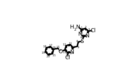 Nc1cc(Cl)nc(SCCc2ccc(OCc3ccccc3)c(Cl)n2)n1